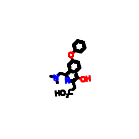 CN(C)Cc1nc(CC(=O)O)c(O)c2ccc(Oc3ccccc3)cc12